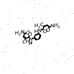 C/C(=C/C(N)=O)C(=O)Nc1cccc(NC(=O)/C(C)=C\C(N)=O)c1